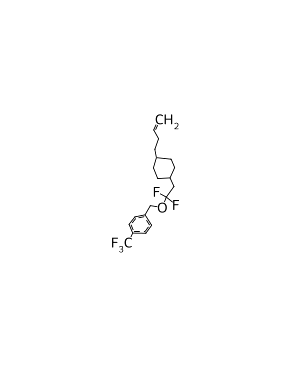 C=CCCC1CCC(CC(F)(F)OCc2ccc(C(F)(F)F)cc2)CC1